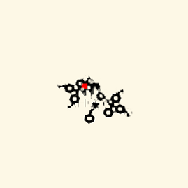 COc1ccc(C(Nc2nc(OC)c3ncn([C@@H]4O[C@H](COC(c5ccccc5)(c5ccc(OC)cc5)c5ccc(OC)cc5)[C@@H](OC(=O)OCc5ccccc5)[C@@]4(C)F)c3n2)(c2ccccc2)c2ccc(OC)cc2)cc1